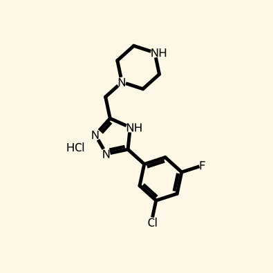 Cl.Fc1cc(Cl)cc(-c2nnc(CN3CCNCC3)[nH]2)c1